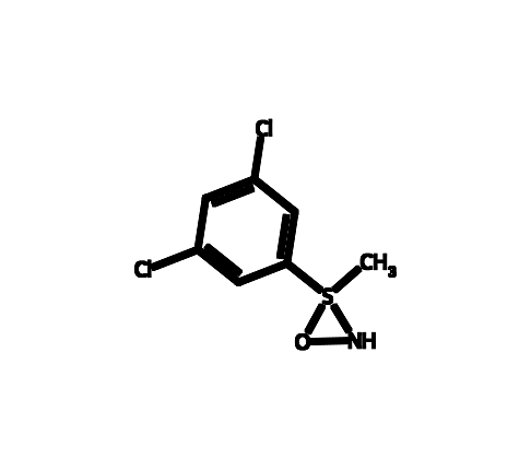 CS1(c2cc(Cl)cc(Cl)c2)NO1